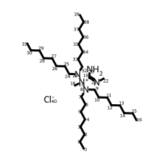 CCCCCCCCN(CCCCCCCC)[N+](C)(/C(N)=N/C)N(CCCCCCCC)CCCCCCCC.[Cl-]